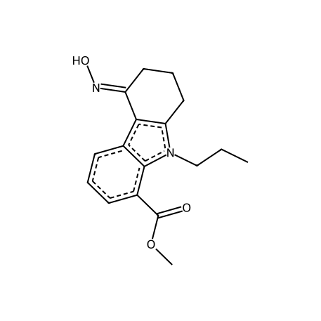 CCCn1c2c(c3cccc(C(=O)OC)c31)/C(=N/O)CCC2